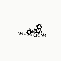 COC(=O)c1c(-c2ccccc2)cn(-c2ccc(OC)cc2)c1C(F)(F)F